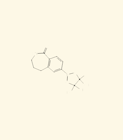 CC1(C)OB(c2ccc3c(c2)CCCNC3=O)OC1(C)C